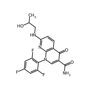 CC(O)CNc1ccc2c(=O)c(C(N)=O)cn(-c3c(F)cc(F)cc3F)c2n1